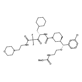 COC(=O)NCCO[C@@H](c1cccc(Cl)c1)[C@@H]1CCCN(C(=O)N[C@@H](CC2CCCCC2)C(=O)C(F)(F)C(=O)NCCN2CCOCC2)C1